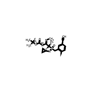 C#Cc1ccc(F)c(CS(=O)(=NC2CC2)C(C)(C)/C(=N\C)NC(=O)OC(C)(C)C)c1